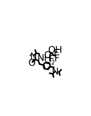 CC(C)N(C)C(=O)[C@H](N)Cc1ccc(CN(C(C)C)C(C)C)cc1.O=C(O)C(F)(F)F